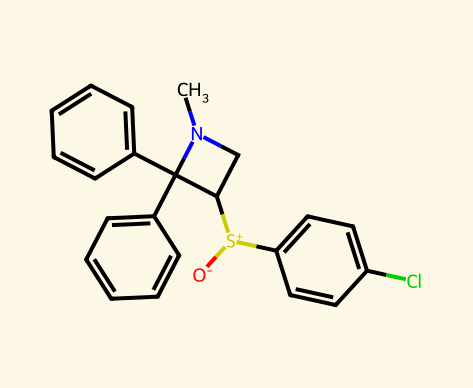 CN1CC([S+]([O-])c2ccc(Cl)cc2)C1(c1ccccc1)c1ccccc1